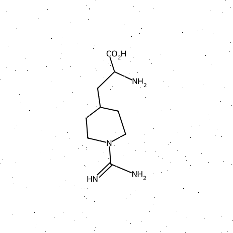 N=C(N)N1CCC(CC(N)C(=O)O)CC1